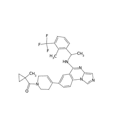 Cc1c(C(C)Nc2nc3cncn3c3ccc(C4=CCN(C(=O)C5(C)CC5)CC4)cc23)cccc1C(F)(F)F